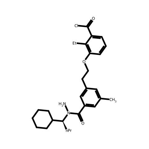 CCC[C@@H](C1CCCCC1)N(N)C(=O)c1cc(C)cc(CCOc2cccc(C(=O)Cl)c2CC)c1